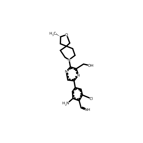 C[C@H]1CC2(CCN(c3ncc(-c4cc(N)c(C=N)c(Cl)c4)nc3CO)CC2)CO1